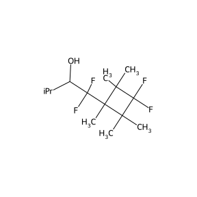 CC(C)C(O)C(F)(F)C1(C)C(C)(C)C(F)(F)C1(C)C